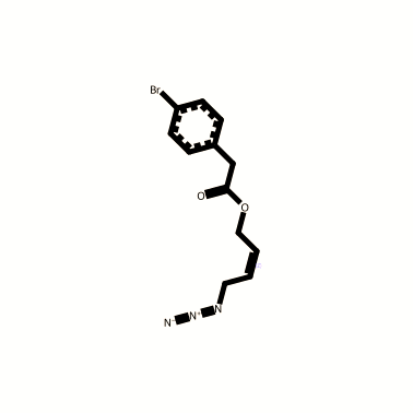 [N-]=[N+]=NC/C=C\COC(=O)Cc1ccc(Br)cc1